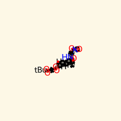 C=C(C)[C@H]1CC[C@]2(C(=O)N[C@H]3C[C@@H](C(=O)N4CCOCC4)C3(C)C)CC[C@]3(C)[C@H](CC[C@@H]4[C@@]5(C)CC[C@H](OC(=O)C6CC(C(=O)OC(C)(C)C)C6(C)C)C(C)(C)[C@@H]5CC[C@]43C)[C@@H]12